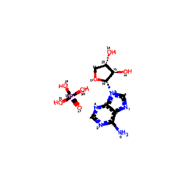 Nc1ncnc2c1ncn2[C@@H]1OC[C@H](O)[C@H]1O.O=P(O)(O)O